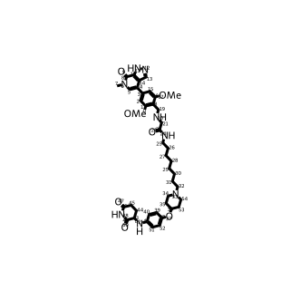 COc1cc(-c2cn(C)c(=O)c3[nH]ncc23)cc(OC)c1CNCC(=O)NCCCCCCCCN1CCC(Oc2ccc(NC3CCC(=O)NC3=O)cc2)CC1